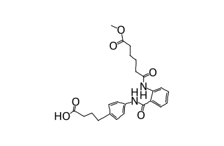 COC(=O)CCCCC(=O)Nc1ccccc1C(=O)Nc1ccc(CCCC(=O)O)cc1